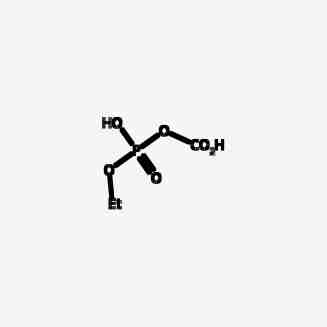 CCOP(=O)(O)OC(=O)O